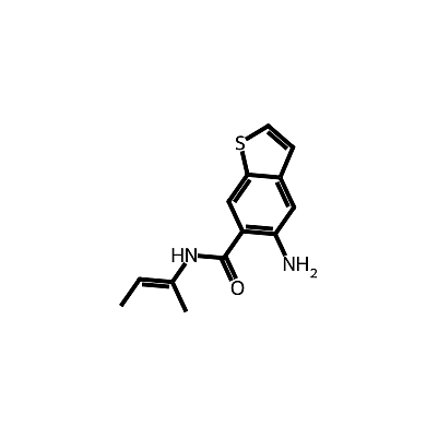 C/C=C(\C)NC(=O)c1cc2sccc2cc1N